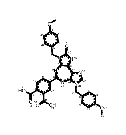 COc1ccc(Cn2c3nc(-c4ccc(C(=O)O)c(C(=O)O)c4)nc4c(ncn4Cc4ccc(OC)cc4)c-3nc2=O)cc1